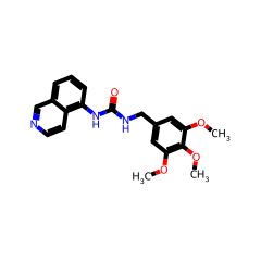 COc1cc(CNC(=O)Nc2cccc3cnccc23)cc(OC)c1OC